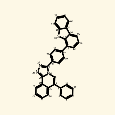 c1ccc(-c2cn3c(-c4ccc(-c5cccc6c5sc5ccccc56)cc4)nnc3c3ccccc23)cc1